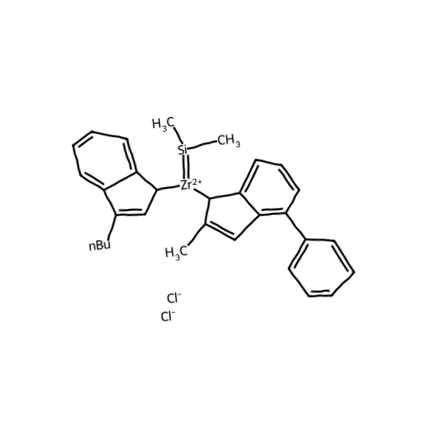 CCCCC1=C[CH]([Zr+2]([CH]2C(C)=Cc3c(-c4ccccc4)cccc32)=[Si](C)C)c2ccccc21.[Cl-].[Cl-]